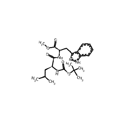 COC(=O)C(Cc1n[nH]c2ccccc12)NC(=O)[C@H](CC(C)C)NC(=O)OC(C)(C)C